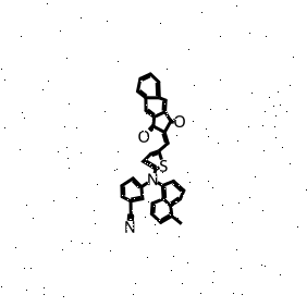 Cc1cccc2c(N(c3cccc(C#N)c3)c3ccc(C=C4C(=O)c5cc6ccccc6cc5C4=O)s3)cccc12